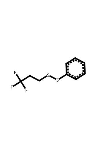 FC(F)(F)CCSSc1ccccc1